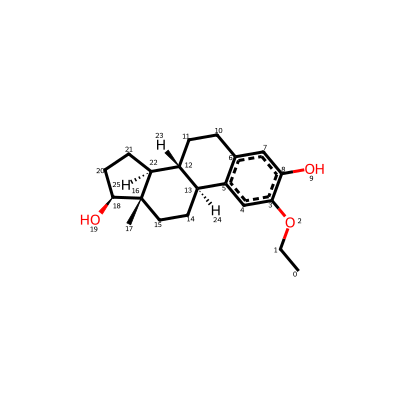 CCOc1cc2c(cc1O)CC[C@@H]1[C@@H]2CC[C@]2(C)[C@@H](O)CC[C@@H]12